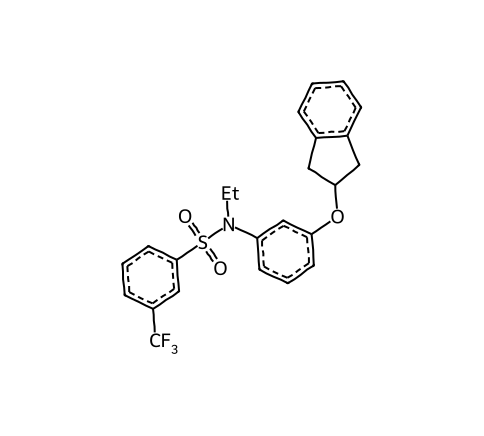 CCN(c1cccc(OC2Cc3ccccc3C2)c1)S(=O)(=O)c1cccc(C(F)(F)F)c1